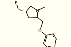 CN1C[C@@H](CF)CC1COc1cccnc1